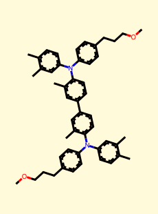 COCCCc1ccc(N(c2ccc(C)c(C)c2)c2ccc(-c3ccc(N(c4ccc(CCCOC)cc4)c4ccc(C)c(C)c4)c(C)c3)cc2C)cc1